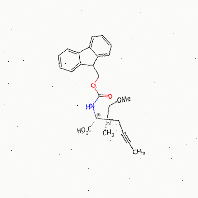 CC#CC[C@](C)(COC)[C@@H](NC(=O)OCC1c2ccccc2-c2ccccc21)C(=O)O